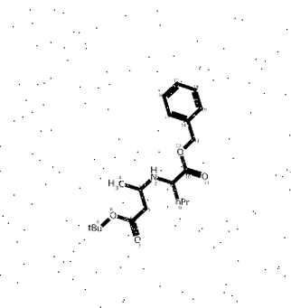 CCCC(NC(C)CC(=O)OC(C)(C)C)C(=O)OCc1ccccc1